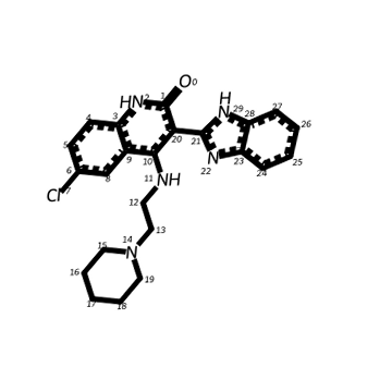 O=c1[nH]c2ccc(Cl)cc2c(NCCN2CCCCC2)c1-c1nc2ccccc2[nH]1